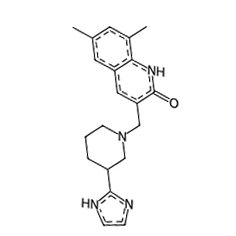 Cc1cc(C)c2[nH]c(=O)c(CN3CCCC(c4ncc[nH]4)C3)cc2c1